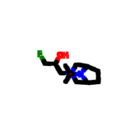 CC(C)N1C2CCC1CN(CC(O)CF)C2